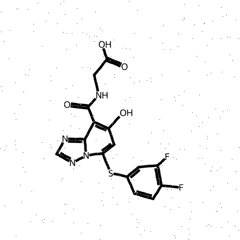 O=C(O)CNC(=O)c1c(O)cc(Sc2ccc(F)c(F)c2)n2ncnc12